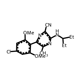 CCC(CC)Nc1nc(C)c(-c2c(OC)cc(Cl)cc2OC)nc1C#N